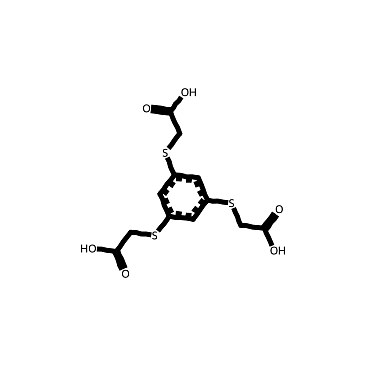 O=C(O)CSc1cc(SCC(=O)O)cc(SCC(=O)O)c1